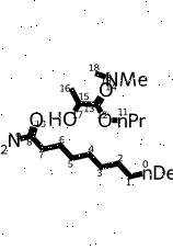 CCCCCCCCCCCCCCCCCC(N)=O.CCCOC(=O)C(C)O.CNC